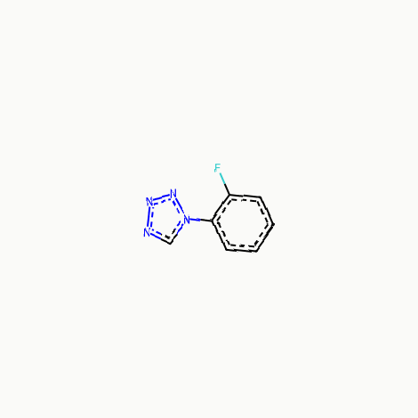 Fc1ccccc1-n1cnnn1